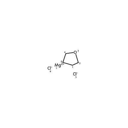 C1CCOC1.[Cl-].[Cl-].[Mg+2]